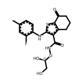 Cc1ccc(Nc2sc3c(c2C(=O)NO[C@H](O)CO)CCCC3=O)c(F)c1